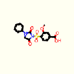 COc1cc(C(=O)O)ccc1S(=O)(=O)N1C(=O)CN(c2ccccc2)C1=O